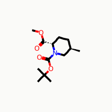 COC(=O)[C@@H]1CC[C@@H](C)CN1C(=O)OC(C)(C)C